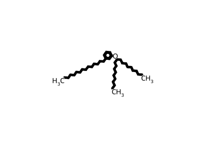 CCCCCCCCCCCCCCCc1cccc(OC(CCCCCCCCCC)CCCCCCCCCC)c1